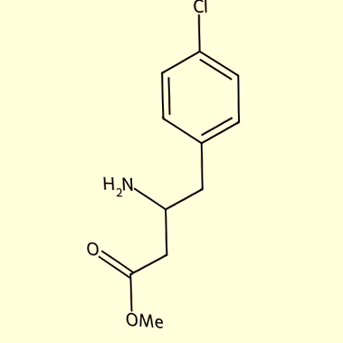 COC(=O)CC(N)Cc1ccc(Cl)cc1